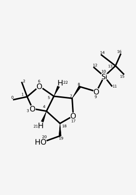 CC1(C)O[C@@H]2[C@H](O1)[C@@H](CO[Si](C)(C)C(C)(C)C)O[C@H]2CO